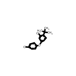 CC(C)(C)c1ccc(Oc2ccc(Cl)cc2)cc1Cl